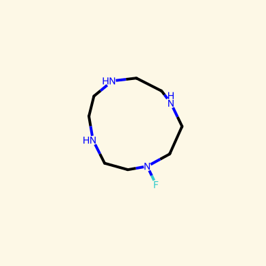 FN1CCNCCNCCNCC1